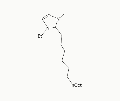 CCCCCCCCCCCCCCC1N(C)C=CN1CC